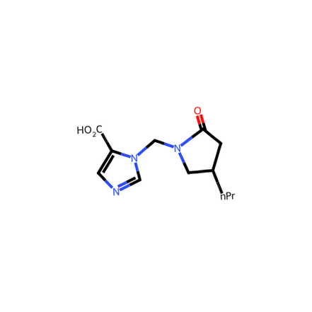 CCCC1CC(=O)N(Cn2cncc2C(=O)O)C1